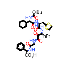 CCCC(NC(=O)[C@H](CC1SCCS1)NC(=O)[C@@H](NC(=O)OCC(C)C)C1CCCCC1)C(=O)C(=O)NCC(=O)N[C@H](C(=O)O)c1ccccc1